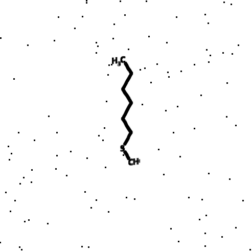 [CH]SCCCCCC